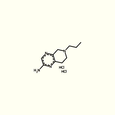 CCCN1CCc2nc(N)cnc2C1.Cl.Cl